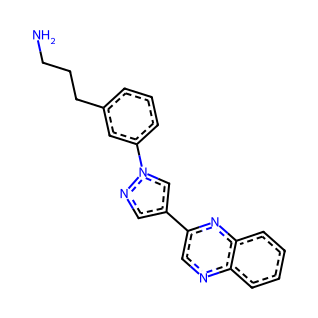 NCCCc1cccc(-n2cc(-c3cnc4ccccc4n3)cn2)c1